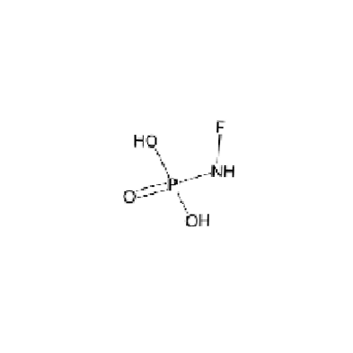 O=P(O)(O)NF